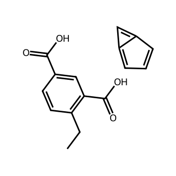 CCc1ccc(C(=O)O)cc1C(=O)O.c1cc2cc-2c1